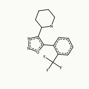 FC(F)(F)c1ccccc1-c1onnc1C1CCCC[N]1